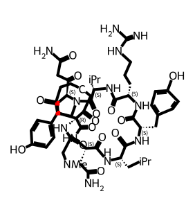 CNCC(=O)N[C@@]1(C(=O)N[C@@H](CC(N)=O)C(=O)N[C@@H](CC(C)C)C(=O)N[C@@H](Cc2ccc(O)cc2)C(=O)N[C@@H](CCCNC(=N)N)C(=O)N[C@H](C(=O)N2CCC[C@H]2C(=O)CC(N)=O)C(C)C)C(=O)CCCCC(=O)C1c1ccc(O)cc1